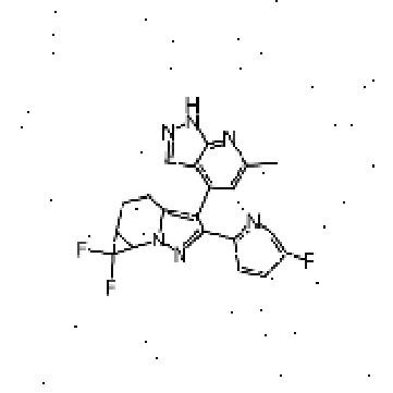 Cc1cc(-c2c(-c3ccc(F)cn3)nn3c2CCC2C3C2(F)F)c2cn[nH]c2n1